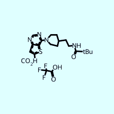 CC(C)(C)C(=O)NCCC1CCN(c2ncnc3cc(C(=O)O)sc23)CC1.O=C(O)C(F)(F)F